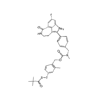 Cc1cc(SSC(=O)C(C)(C)C)ccc1COC(=O)N(C)Cc1ccc(-c2[nH]c3cc(F)cc4c3c2CCNC4=O)cc1